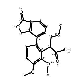 COc1ccc(-c2cccc3c2COC3=O)c(C(CSC)C(=O)O)c1OC